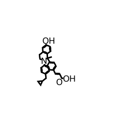 CC1(c2ccc(/C=C/C(=O)O)cc2)c2ccc(O)cc2CCN1c1ccc(CC2CC2)cc1